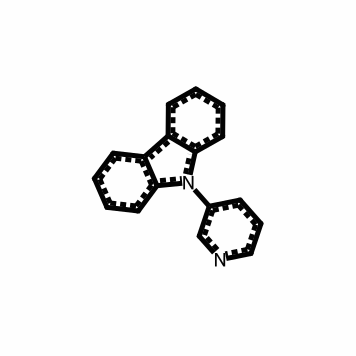 c1cncc(-n2c3ccccc3c3ccccc32)c1